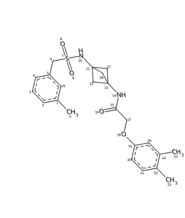 Cc1cccc(CS(=O)(=O)NC23CC(NC(=O)COc4ccc(C)c(C)c4)(C2)C3)c1